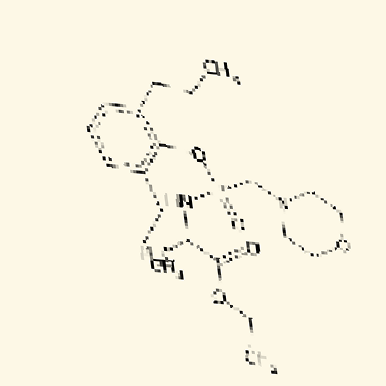 CCCc1cccc(CCC)c1OP(=O)(CN1CCOCC1)N[C@@H](C)C(=O)OCC